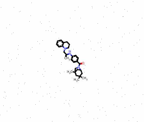 C=C(CN1CCCc2ccccc21)Nc1ccc(C(=O)N2CC3(C)CC2CC(C)(C)C3)cc1